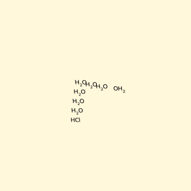 Cl.O.O.O.O.O.O.O